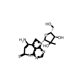 CC1(O)[C@H](O)[C@@H](CO)O[C@H]1n1cc2c3c(ncnc31)NC(=S)C=C2N